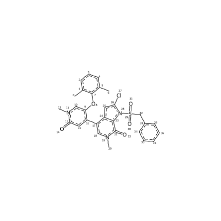 Cc1cccc(C)c1Oc1cn(C)c(=O)cc1-c1cn(C)c(=O)c2c1cc(Cl)n2S(=O)(=O)Cc1ccccc1